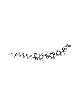 CCC(C)COC(=O)c1ccc(-c2ccc(OC(=O)c3ccc(OC(=O)CCCCCCCCC(=O)O)cc3)cc2)cc1